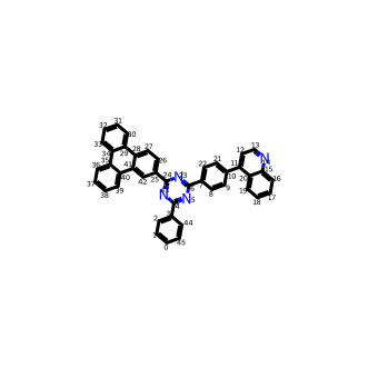 c1ccc(-c2nc(-c3ccc(-c4ccnc5ccccc45)cc3)nc(-c3ccc4c5ccccc5c5ccccc5c4c3)n2)cc1